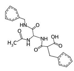 CC(=O)NC(NC(=O)C(Cc1ccccc1)C(=O)O)C(=O)NCc1ccccc1